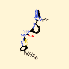 CC(=O)Nc1ccc2nc(NC(=O)Nc3cccc(-c4nncn4C(C)C)n3)sc2c1